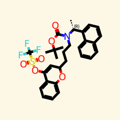 C[C@H](c1cccc2ccccc12)N(CCCC1C=C(OS(=O)(=O)C(F)(F)F)c2ccccc2O1)C(=O)OC(C)(C)C